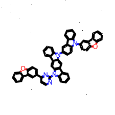 c1ccc2c(c1)oc1ccc(-c3ccnc(-n4c5ccccc5c5cc6c(cc54)c4ccccc4n6-c4ccc5c(c4)c4ccccc4n5-c4ccc5oc6ccccc6c5c4)n3)cc12